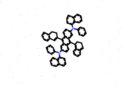 C1=C(c2c3cc(N(c4ccccc4)c4cccc5ccccc45)ccc3c(C3=c4ccccc4=CCC3)c3cc(N(c4ccccc4)c4cccc5ccccc45)ccc23)CCc2ccccc21